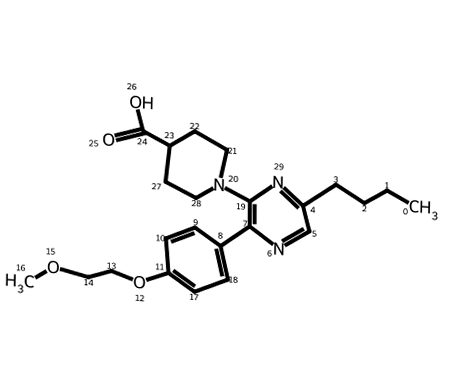 CCCCc1cnc(-c2ccc(OCCOC)cc2)c(N2CCC(C(=O)O)CC2)n1